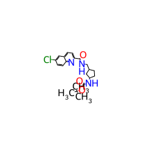 CC(C)(C)OC(=O)NC1CCC(CNC(=O)c2ccc3cc(Cl)ccc3n2)C1